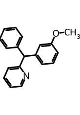 COc1cccc(C(c2ccccc2)c2ccccn2)c1